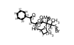 COC(=O)C(Br)(N1CCC1NC(=O)CC(=O)c1ccccc1)C(C)(C)SBr